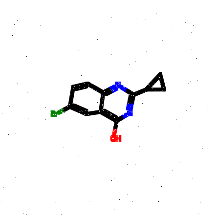 Oc1nc(C2CC2)nc2ccc(Br)cc12